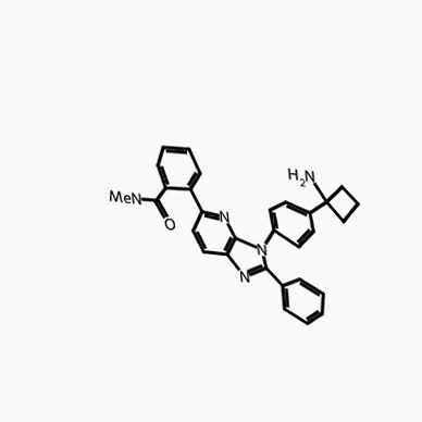 CNC(=O)c1ccccc1-c1ccc2nc(-c3ccccc3)n(-c3ccc(C4(N)CCC4)cc3)c2n1